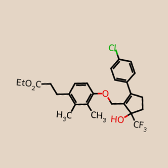 CCOC(=O)CCc1ccc(OCC2=C(c3ccc(Cl)cc3)CCC2(O)C(F)(F)F)c(C)c1C